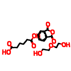 O=C(O)CCCCC(=O)O.O=C1OC(=O)c2ccccc21.OCCOCCO